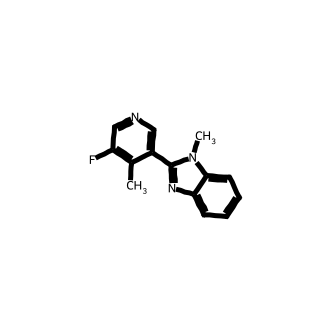 Cc1c(F)cncc1-c1nc2ccccc2n1C